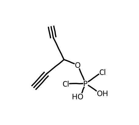 C#CC(C#C)OP(O)(O)(Cl)Cl